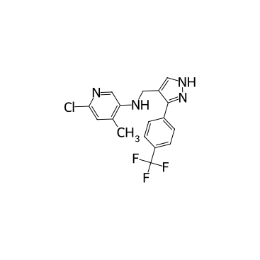 Cc1cc(Cl)ncc1NCc1c[nH]nc1-c1ccc(C(F)(F)F)cc1